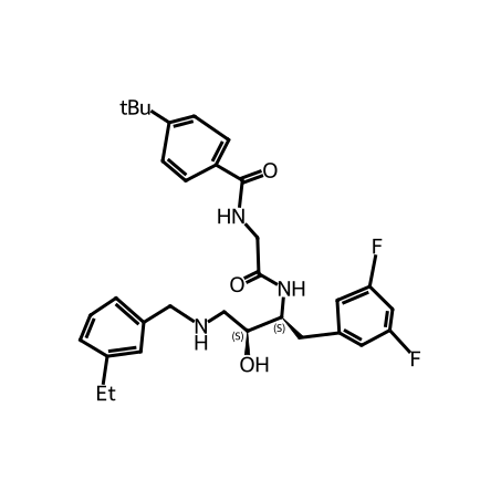 CCc1cccc(CNC[C@H](O)[C@H](Cc2cc(F)cc(F)c2)NC(=O)CNC(=O)c2ccc(C(C)(C)C)cc2)c1